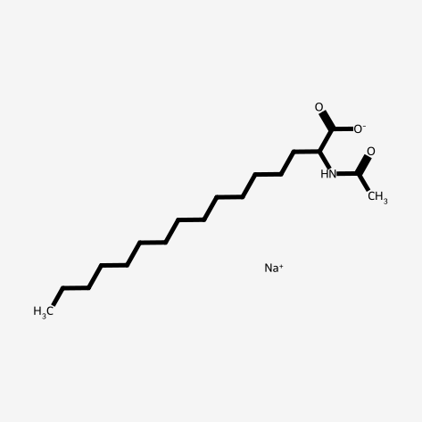 CCCCCCCCCCCCCCC(NC(C)=O)C(=O)[O-].[Na+]